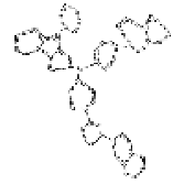 c1ccc(-n2c3ccccc3c3ccc(N(c4ccc(-c5cccc(-c6ccc7ccccc7c6)c5)cc4)c4ccc(-c5ccc6ccccc6c5)cc4)cc32)cc1